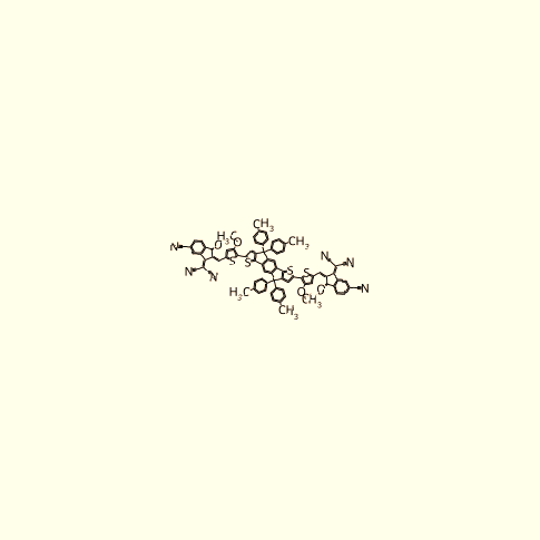 COc1cc(/C=C2\C(=O)c3ccc(C#N)cc3C2=C(C#N)C#N)sc1-c1cc2c(s1)-c1cc3c(cc1C2(c1ccc(C)cc1)c1ccc(C)cc1)-c1sc(-c2sc(/C=C4\C(=O)c5ccc(C#N)cc5C4=C(C#N)C#N)cc2OC)cc1C3(c1ccc(C)cc1)c1ccc(C)cc1